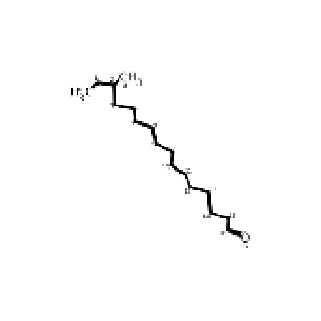 CCC(C)CCCCCCCCCCCCC=O